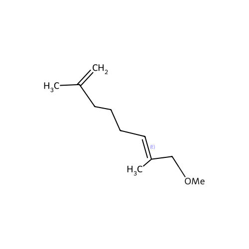 C=C(C)CCC/C=C(\C)COC